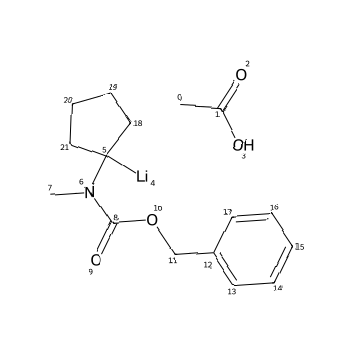 CC(=O)O.[Li][C]1(N(C)C(=O)OCc2ccccc2)CCCC1